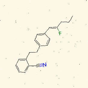 CCCC(F)=Cc1ccc(CCc2ccccc2C#N)cc1